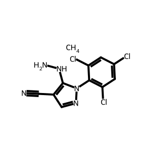 C.N#Cc1cnn(-c2c(Cl)cc(Cl)cc2Cl)c1NN